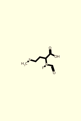 CSCCC(C(=O)O)N(F)C=O